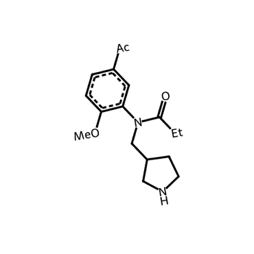 CCC(=O)N(CC1CCNC1)c1cc(C(C)=O)ccc1OC